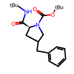 CC(C)(C)NC(=O)[C@@H]1CC(Cc2ccccc2)CN1C(=O)OC(C)(C)C